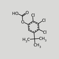 CC(C)(C)c1cc(OC(=O)O)c(Cl)c(Cl)c1Cl